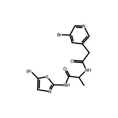 CC(NC(=O)Cc1cncc(Br)c1)C(=O)Nc1ncc(C(C)C)s1